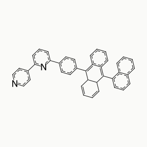 C1=CC2C(c3ccc(-c4cccc(-c5ccncc5)n4)cc3)=c3ccccc3=C(c3cccc4ccccc34)C2C=C1